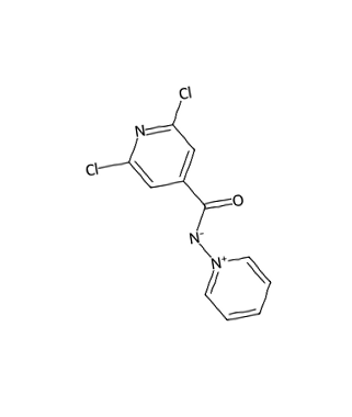 O=C([N-][n+]1ccccc1)c1cc(Cl)nc(Cl)c1